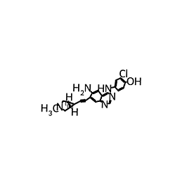 CN1C[C@@H]2C(C#Cc3cc4ncnc(Nc5ccc(O)c(Cl)c5)c4cc3N)[C@@H]2C1